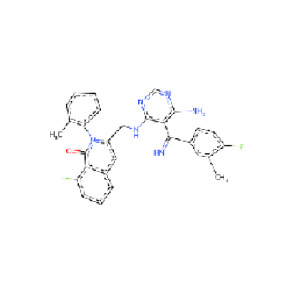 Cc1cc(C(=N)c2c(N)ncnc2NCc2cc3cccc(F)c3c(=O)n2-c2ccccc2C)ccc1F